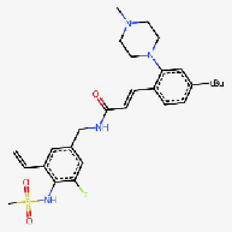 C=Cc1cc(CNC(=O)C=Cc2ccc(C(C)(C)C)cc2N2CCN(C)CC2)cc(F)c1NS(C)(=O)=O